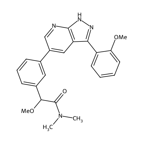 COc1ccccc1-c1n[nH]c2ncc(-c3cccc(C(OC)C(=O)N(C)C)c3)cc12